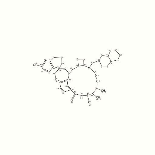 CC1CCCC(CN2CCN3CCCCC3C2)C2CCC2CN2C[C@@]3(CCCc4cc(Cl)ccc43)COc3ccc(cc32)C(=O)N[S+]([O-])C1C